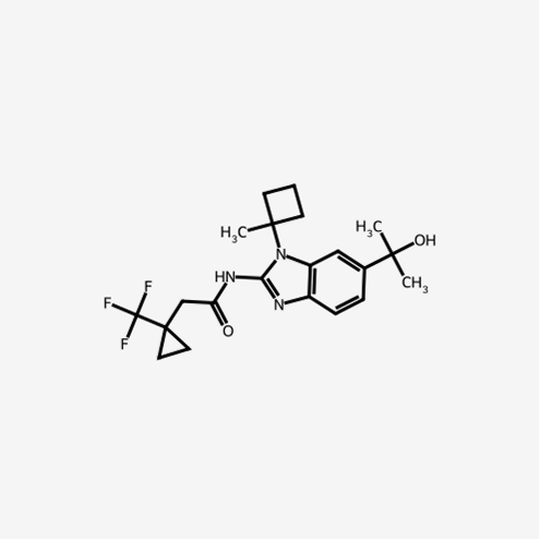 CC(C)(O)c1ccc2nc(NC(=O)CC3(C(F)(F)F)CC3)n(C3(C)CCC3)c2c1